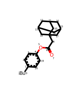 CCC(C)c1ccc(OC(=O)CC23CC4CC(CC(C4)C2)C3)cc1